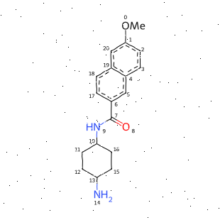 COc1ccc2cc(C(=O)NC3CCC(N)CC3)ccc2c1